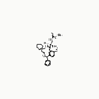 CC(C)(C)OC(=O)NCC(C)(C)C(=O)OC[N+]1(CCOC(c2ccccc2)c2ccc(Cl)cc2)CCCCC1